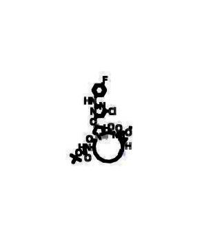 COC(=O)[C@@]12C[C@H]1/C=C\CCCCC[C@H](NC(=O)OC(C)(C)C)C(=O)N1C[C@H](Oc3cc(Cl)nc(Nc4ccc(F)cc4)n3)C[C@H]1C(=O)N2